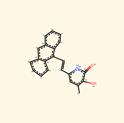 Cc1cc(C=Cc2c3ccccc3cc3ccccc23)[nH]c(=O)c1O